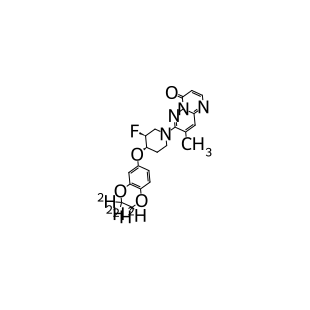 [2H]C1([2H])Oc2ccc(O[C@@H]3CCN(c4nn5c(=O)ccnc5cc4C)C[C@@H]3F)cc2OC1([2H])[2H]